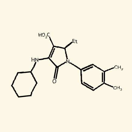 CCC1C(C(=O)O)=C(NC2CCCCC2)C(=O)N1c1ccc(C)c(C)c1